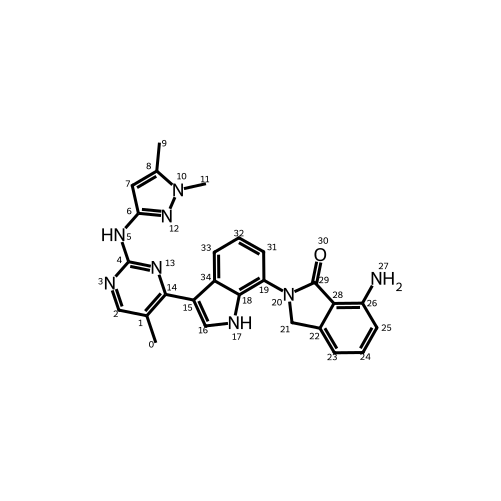 Cc1cnc(Nc2cc(C)n(C)n2)nc1-c1c[nH]c2c(N3Cc4cccc(N)c4C3=O)cccc12